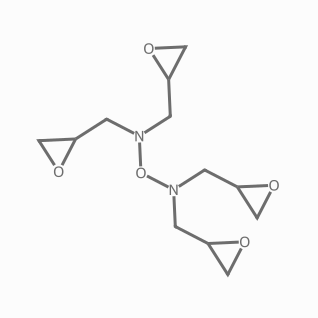 C1OC1CN(CC1CO1)ON(CC1CO1)CC1CO1